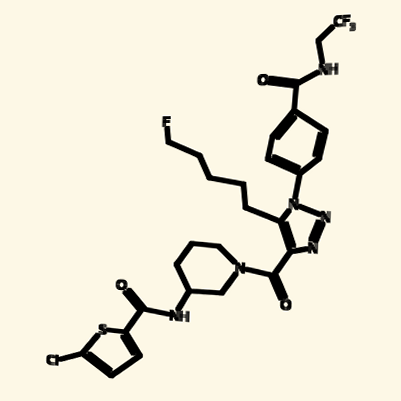 O=C(NCC(F)(F)F)c1ccc(-n2nnc(C(=O)N3CCCC(NC(=O)c4ccc(Cl)s4)C3)c2CCCCCF)cc1